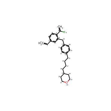 C=Cc1ccc(C(=C)F)c(Cc2ccc(CCCCC3CCOCC3)cc2)c1